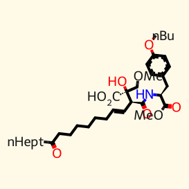 CCCCCCCC(=O)CCCCCC/C=C/[C@H](C(=O)N[C@@H](Cc1ccc(OCCCC)cc1)C(=O)OC)[C@@](O)(COC)C(=O)O